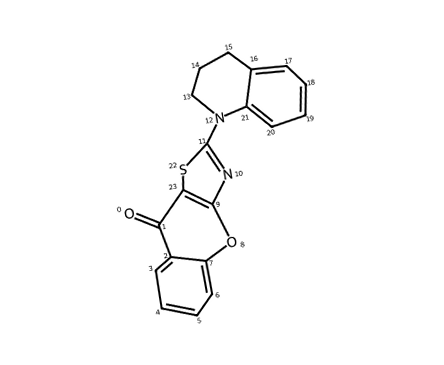 O=c1c2ccccc2oc2nc(N3CCCc4ccccc43)sc12